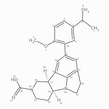 COc1ccc(C(C)C)cc1-c1cc2c3c(c1)[C@@H]1CN(C(=O)O)CC[C@@H]1N3CC2